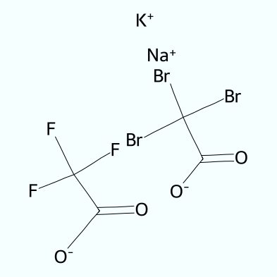 O=C([O-])C(Br)(Br)Br.O=C([O-])C(F)(F)F.[K+].[Na+]